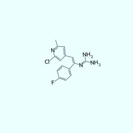 Cc1cc(/C=C(/N=C(N)N)c2ccc(F)cc2)cc(Cl)n1